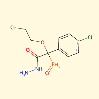 NNC(=O)C(OCCCl)([PH2]=O)c1ccc(Cl)cc1